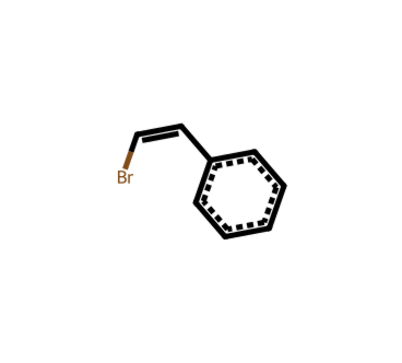 Br/C=C\c1ccccc1